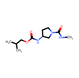 CNC(=O)N1CC[C@H](NC(=O)OCC(C)C)C1